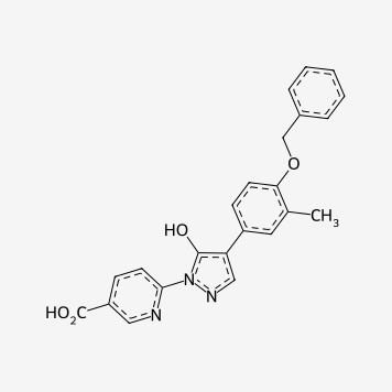 Cc1cc(-c2cnn(-c3ccc(C(=O)O)cn3)c2O)ccc1OCc1ccccc1